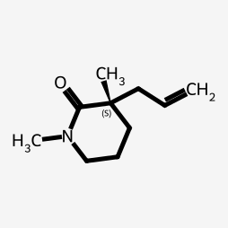 C=CC[C@]1(C)CCCN(C)C1=O